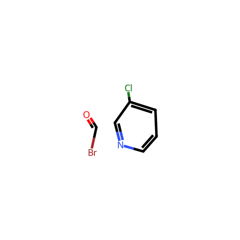 Clc1cccnc1.O=CBr